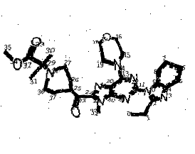 CCc1nc2ccccc2n1-c1nc(N2CCOCC2)c2nc(C(=O)C3CCN(C(C)(C)C(=O)OC)CC3)n(C)c2n1